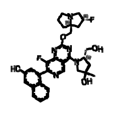 CC1(O)C[C@@H](CO)N(c2nc(OC[C@@]34CCCN3C[C@H](F)C4)nc3c(F)c(-c4cc(O)cc5ccccc45)ncc23)C1